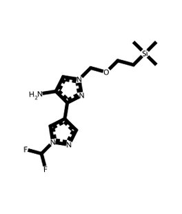 C[Si](C)(C)CCOCn1cc(N)c(-c2cnn(C(F)F)c2)n1